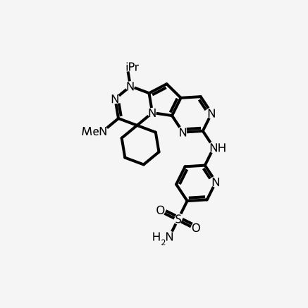 CNC1=NN(C(C)C)c2cc3cnc(Nc4ccc(S(N)(=O)=O)cn4)nc3n2C12CCCCC2